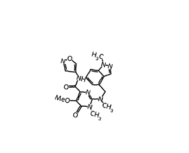 COc1c(C(=O)Nc2cnoc2)nc(N(C)Cc2cccc3c2cnn3C)n(C)c1=O